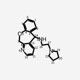 c1ccc2c(c1)OCc1ncccc1C2NCCN1CCCC1